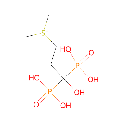 C[S+](C)CCC(O)(P(=O)(O)O)P(=O)(O)O